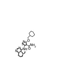 NC(=O)c1c(OCC2CCCCC2)nsc1Nc1ncnc2cccc(F)c12